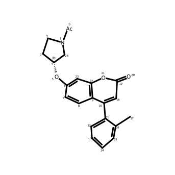 CC(=O)N1CC[C@@H](Oc2ccc3c(-c4ccccc4C)cc(=O)oc3c2)C1